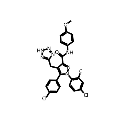 COc1ccc(NC(=O)c2nn(-c3ccc(Cl)cc3Cl)c(-c3ccc(Cl)cc3)c2Cc2nn[nH]n2)cc1